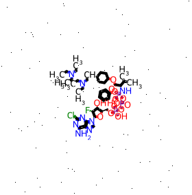 CC(C)[C@H](NP(=O)(Oc1ccccc1)OP(=O)(O)OP(=O)(O)OC[C@H]1O[C@@H](n2cnc3c(N)nc(Cl)nc32)[C@@H](F)[C@@H]1O)C(=O)OC1CCCCC1.CCN(CC)CC.CCN(CC)CC